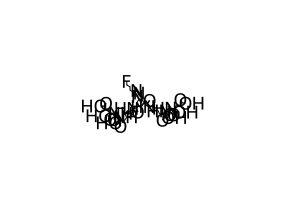 O=C(O)CCC(NC(=O)NC(CCCCNC(=O)c1cc(C(=O)Nc2ccc(CC(NC(=O)NC(CCC(=O)O)C(=O)O)C(=O)O)cc2)cc(-n2cc(CCCF)nn2)c1)C(=O)O)C(=O)O